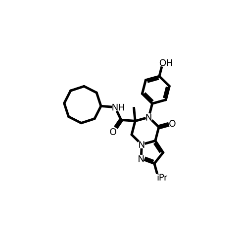 CC(C)c1cc2n(n1)CC(C)(C(=O)NC1CCCCCCC1)N(c1ccc(O)cc1)C2=O